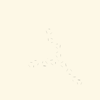 CC1(C)c2cc(-c3ccc4ccccc4c3)ccc2-c2ccc(N(c3ccc(-c4cccc(-c5ccc6oc7ccccc7c6c5)c4)cc3)c3ccc4c(c3)C(C)(C)c3cc(-c5ccc6ccccc6c5)ccc3-4)cc21